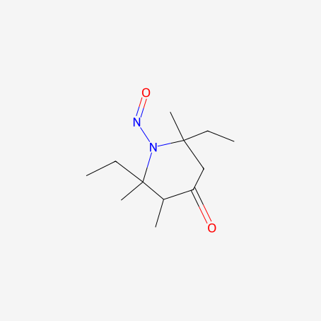 CCC1(C)CC(=O)C(C)C(C)(CC)N1N=O